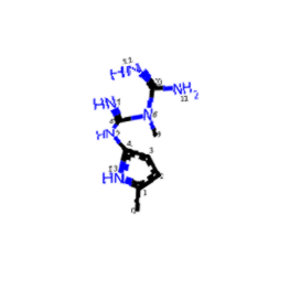 Cc1ccc(NC(=N)N(C)C(=N)N)[nH]1